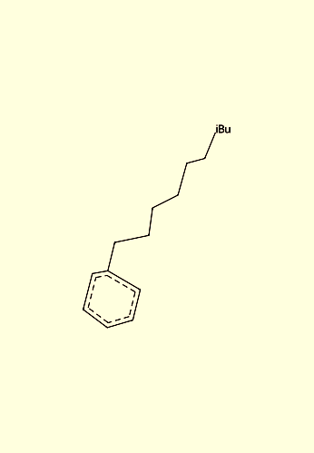 CCC(C)CCCCCCc1ccccc1